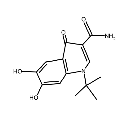 CC(C)(C)n1cc(C(N)=O)c(=O)c2cc(O)c(O)cc21